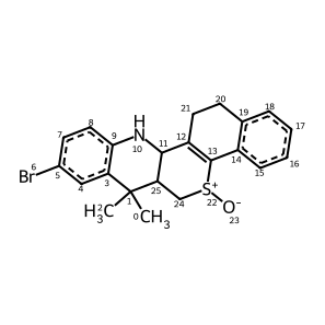 CC1(C)c2cc(Br)ccc2NC2C3=C(c4ccccc4CC3)[S+]([O-])CC21